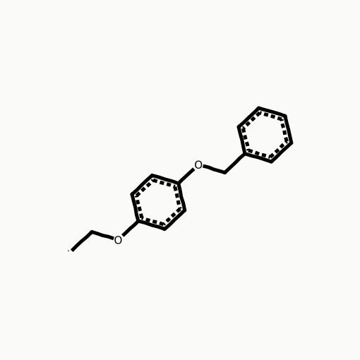 [CH2]COc1ccc(OCc2ccccc2)cc1